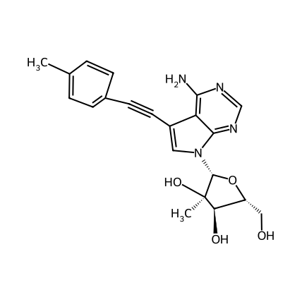 Cc1ccc(C#Cc2cn([C@@H]3O[C@H](CO)[C@@H](O)[C@@]3(C)O)c3ncnc(N)c23)cc1